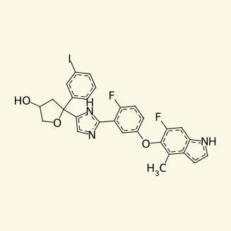 Cc1c(Oc2ccc(F)c(-c3ncc(C4(c5cccc(I)c5)CC(O)CO4)[nH]3)c2)c(F)cc2[nH]ccc12